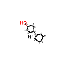 Oc1ccc(-c2ccccc2)cc1.[Hf]